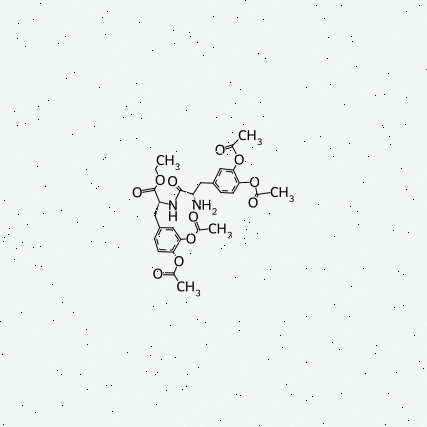 CCOC(=O)[C@H](Cc1ccc(OC(C)=O)c(OC(C)=O)c1)NC(=O)[C@@H](N)Cc1ccc(OC(C)=O)c(OC(C)=O)c1